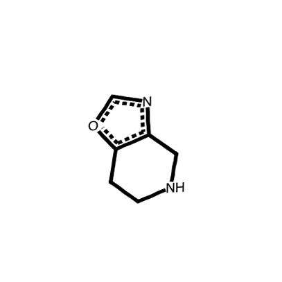 c1nc2c(o1)CCNC2